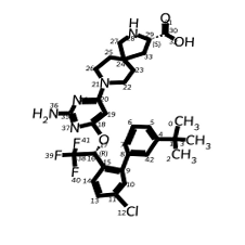 CC(C)(C)c1cccc(-c2cc(Cl)ccc2[C@@H](Oc2cc(N3CCC4(CC3)CN[C@H](C(=O)O)C4)nc(N)n2)C(F)(F)F)c1